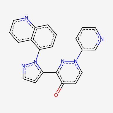 O=c1ccn(-c2cccnc2)nc1-c1ccnn1-c1cccc2ncccc12